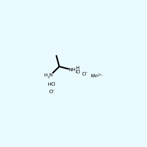 CC(N)N.Cl.Cl.[Cl-].[Cl-].[Mn+2]